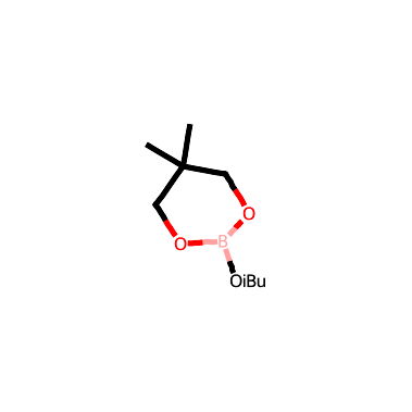 CC(C)COB1OCC(C)(C)CO1